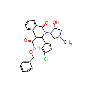 CN1CC(O)C(N2C(=O)c3ccccc3C(C(=O)NOCc3ccccc3)C2C2C=CC(Cl)=C2)C1